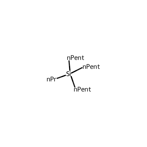 CCCCC[Si](CCC)(CCCCC)CCCCC